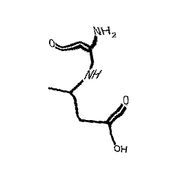 CC(CC(=O)O)NC(N)=O